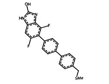 CSCc1ccc(-c2ccc(-c3c(F)cc4[nH]c(O)nc4c3F)cc2)cc1